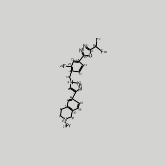 CC(C)N1CCc2cc(-c3cn(Cc4ccc(-c5nnc(C(F)F)o5)cc4F)nn3)ccc2C1